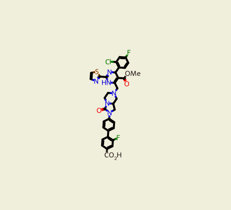 COC(=O)C1=C(CN2CCN3C(=O)N(c4ccc(-c5ccc(C(=O)O)cc5F)cc4)CC3C2)NC(c2nccs2)=NC1c1ccc(F)cc1Cl